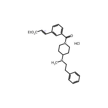 CCOC(=O)/C=C/c1cccc(C(=O)N2CCC(N(C)CCc3ccccc3)CC2)c1.Cl